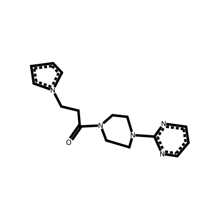 O=C(CCn1cccc1)N1CCN(c2ncccn2)CC1